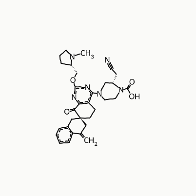 C=C1C[C@@]2(CCc3c(nc(OC[C@@H]4CCCN4C)nc3N3CCN(C(=O)O)[C@@H](CC#N)C3)C2=O)Cc2ccccc21